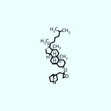 CC(C)CCC[C@@H](C)[C@H]1CC[C@H]2[C@@H]3CC=C4C[C@@H](OC5(CC6CN7CCC6CC7)CO5)CC[C@]4(C)[C@H]3CC[C@]12C